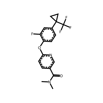 CN(C)C(=O)c1ccc(Oc2ccc(C3(C(F)(F)F)CC3)cc2F)nc1